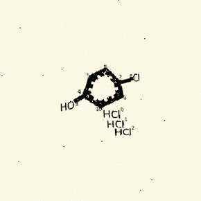 Cl.Cl.Cl.Oc1ccc(Cl)cc1